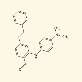 CN(C)c1ccc(Nc2cc(CCc3ccccc3)ccc2C=O)cc1